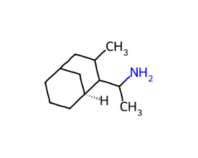 CC(N)C1C(C)CC2CCC[C@H]1C2